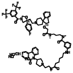 CN(CCN1CCC(N(C(=O)O)c2ccccc2-c2ccccc2)CC1)C(=O)CCCCCNc1cccc(C(=O)N(C)CCCN(C)C(=O)CO[C@H]2Cc3ccccc3C23CCN(CC[C@@]2(c4ccc(F)cc4)CN(C(=O)c4cc(C(F)(F)F)cc(C(F)(F)F)c4)CO2)CC3)c1.Cl.Cl.Cl